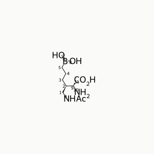 CC(=O)NC[C@@H](CCCB(O)O)[C@H](N)C(=O)O